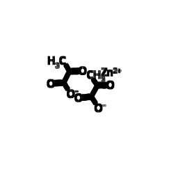 CC(=O)C(=O)[O-].CC(=O)C(=O)[O-].[Zn+2]